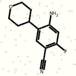 N#Cc1cc(C2CCOCC2)c(N)cc1F